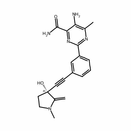 C=C1N(C)CC[C@@]1(O)C#Cc1cccc(-c2nc(C)c(N)c(C(N)=O)n2)c1